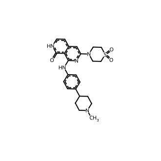 CN1CCC(c2ccc(Nc3nc(N4CCS(=O)(=O)CC4)cc4cc[nH]c(=O)c34)cc2)CC1